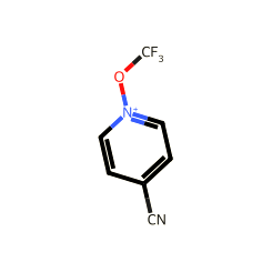 N#Cc1cc[n+](OC(F)(F)F)cc1